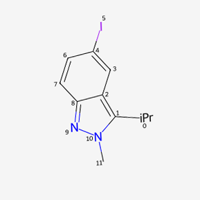 CC(C)c1c2cc(I)ccc2nn1C